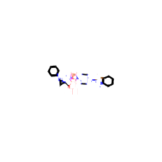 O=C(O)[C@@]1(NS(=O)(=O)N2CCN(c3nc4ccccc4s3)CC2)C[C@H]1c1ccccc1